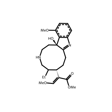 CCC1CNCC[C@@]2(O)C(=Nc3cccc(OC)c32)CC[C@@H]1/C(=C\OC)C(=O)OC